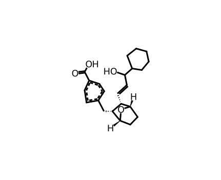 O=C(O)c1ccc(C[C@@H]2[C@H](/C=C/C(O)C3CCCCC3)[C@@H]3CC[C@H]2O3)cc1